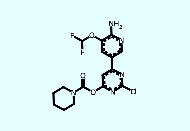 Nc1ncc(-c2cc(OC(=O)N3CCCCC3)nc(Cl)n2)cc1OC(F)F